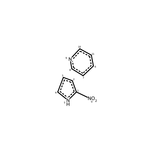 O=[N+]([O-])c1ccc[nH]1.c1ccncc1